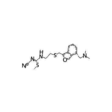 CSC(=NC#N)NCCSCc1occ2c(CN(C)C)cccc12